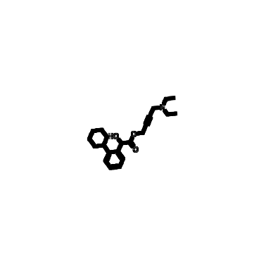 CCN(CC)CC#CCOC(=O)C(O)c1ccccc1C1CCCCC1